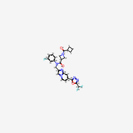 O=C(C1CCC1)N1CC(C(=O)N(Cc2cn3ccc(-c4nnc(C(F)F)o4)cc3n2)c2cccc(F)c2)C1